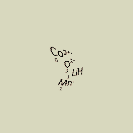 [Co+2].[LiH].[Mn].[O-2]